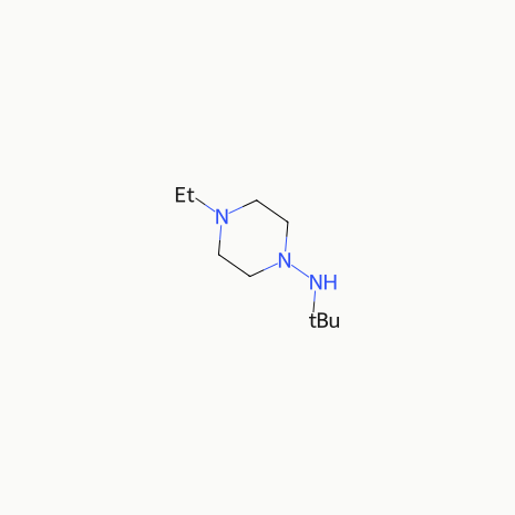 CCN1CCN(NC(C)(C)C)CC1